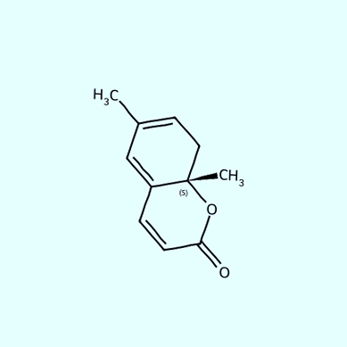 CC1=CC[C@]2(C)OC(=O)C=CC2=C1